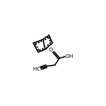 C#CCC(=O)O.c1cc2ccc1-2